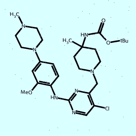 COc1cc(N2CCN(C)CC2)ccc1Nc1ncc(Cl)c(CN2CCC(C)(NC(=O)OC(C)(C)C)CC2)n1